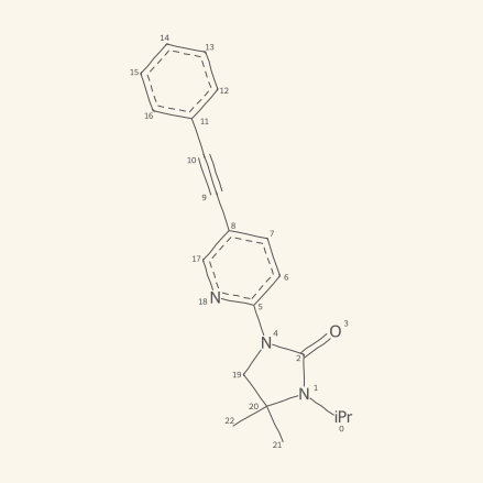 CC(C)N1C(=O)N(c2ccc(C#Cc3ccccc3)cn2)CC1(C)C